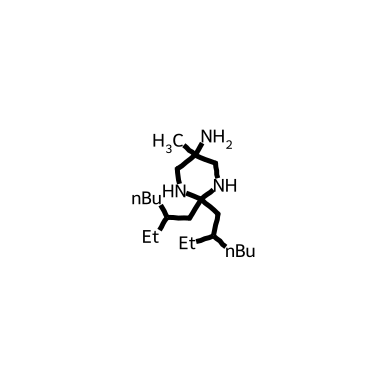 CCCCC(CC)CC1(CC(CC)CCCC)NCC(C)(N)CN1